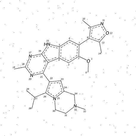 COc1cc2c(cc1-c1c(C)noc1C)[nH]c1nc(C)nc(-c3cc4n(c3C(C)C)CCN(C)C4)c12